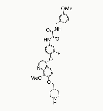 COc1cccc(CNC(=O)C(=O)Nc2ccc(Oc3ccnc4c(OC)c(OCC5CCNCC5)ccc34)c(F)c2)c1